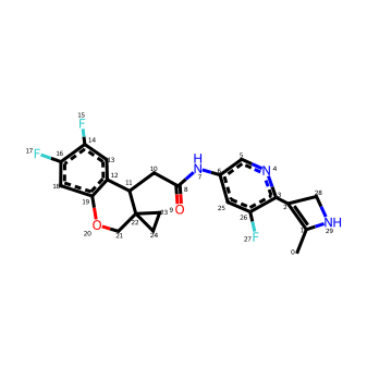 CC1=C(c2ncc(NC(=O)CC3c4cc(F)c(F)cc4OCC34CC4)cc2F)CN1